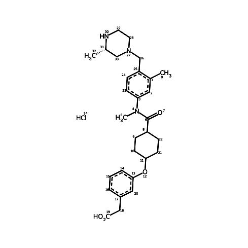 Cc1cc(N(C)C(=O)C2CCC(Oc3cccc(CC(=O)O)c3)CC2)ccc1CN1CCN[C@@H](C)C1.Cl